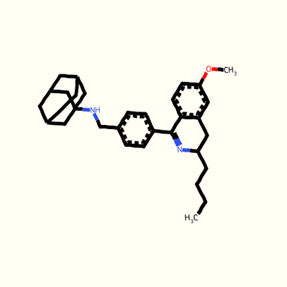 CCCCC1Cc2cc(OC)ccc2C(c2ccc(CNC34CC5CC(CC(C5)C3)C4)cc2)=N1